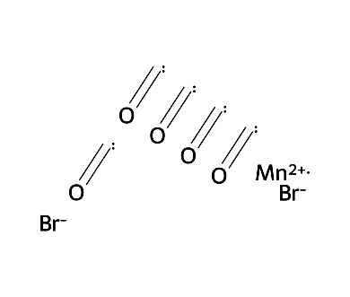 [Br-].[Br-].[C]=O.[C]=O.[C]=O.[C]=O.[C]=O.[Mn+2]